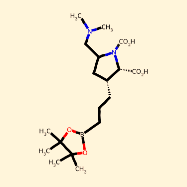 CN(C)CC1C[C@@H](CCCB2OC(C)(C)C(C)(C)O2)[C@@H](C(=O)O)N1C(=O)O